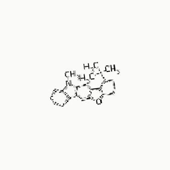 Cn1c2ccccc2c2cc3oc4cccc(C(C)(C)C)c4c3cc21